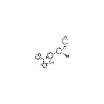 N#Cc1cc(-c2ccnc(Nc3ccnn3Cc3ccco3)c2)ccc1OC1CCOCC1